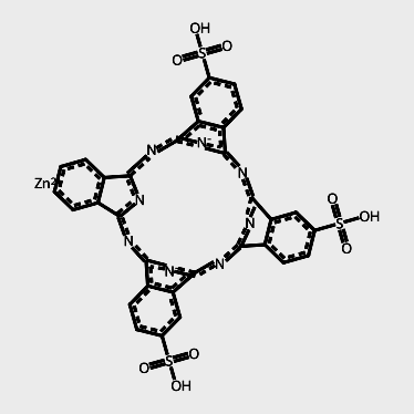 O=S(=O)(O)c1ccc2c(c1)-c1nc-2nc2[n-]c(nc3nc(nc4[n-]c(n1)c1ccc(S(=O)(=O)O)cc41)-c1ccccc1-3)c1ccc(S(=O)(=O)O)cc21.[Zn+2]